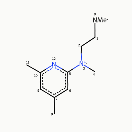 C[N]CC[N+](C)c1cc(C)cc(C)n1